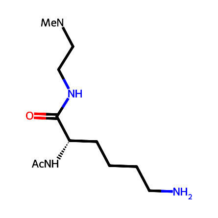 CNCCNC(=O)[C@H](CCCCN)NC(C)=O